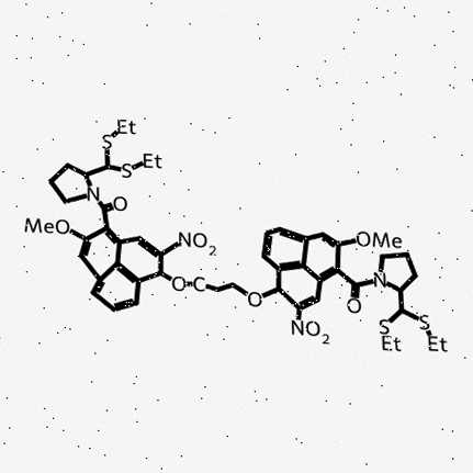 CCSC(SCC)C1CCCN1C(=O)c1c(OC)cc2cccc3c2c1C=C([N+](=O)[O-])C3OCCCOC1C([N+](=O)[O-])=Cc2c(C(=O)N3CCCC3C(SCC)SCC)c(OC)cc3cccc1c23